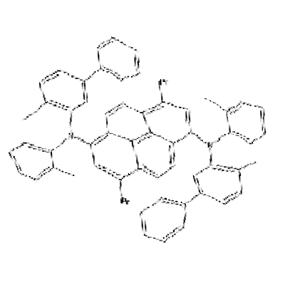 Cc1ccccc1N(c1cc(-c2ccccc2)ccc1C)c1cc(C(C)C)c2ccc3c(N(c4ccccc4C)c4cc(-c5ccccc5)ccc4C)cc(C(C)C)c4ccc1c2c43